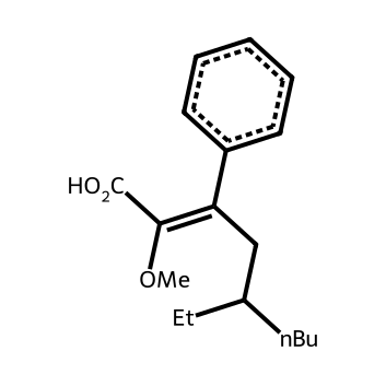 CCCCC(CC)C/C(=C(\OC)C(=O)O)c1ccccc1